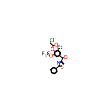 CCc1cc(C(=O)c2csc(-c3ccccc3)n2)cc(OC(F)(F)F)c1OC(=O)CCl